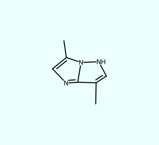 Cc1c[nH]n2c(C)cnc12